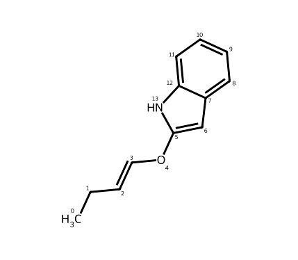 CCC=COc1cc2ccccc2[nH]1